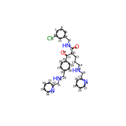 O=C(NCc1cccc(Cl)c1)[C@@H](CCCNCc1ccccn1)C(=O)c1ccc(CNCc2ccccn2)cc1